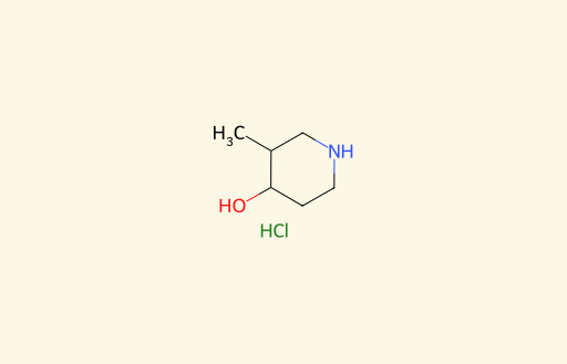 CC1CNCCC1O.Cl